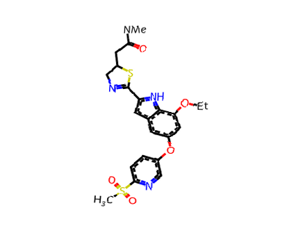 CCOc1cc(Oc2ccc(S(C)(=O)=O)nc2)cc2cc(C3=NCC(CC(=O)NC)S3)[nH]c12